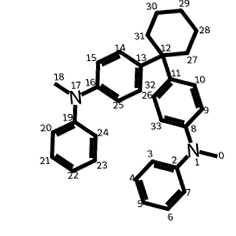 CN(c1ccccc1)c1ccc(C2(c3ccc(N(C)c4ccccc4)cc3)CCCCC2)cc1